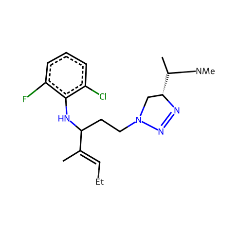 CC/C=C(\C)C(CCN1C[C@H](C(C)NC)N=N1)Nc1c(F)cccc1Cl